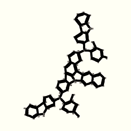 Cc1ccc(N(c2ccc3c(c2)oc2ccccc23)c2ccc3cc4c5ccc(N(c6ccc7c(c6)oc6ccccc67)c6ccc(C)cc6C)cc5n5c6cc7ccccc7cc6c(c3c2)c45)c(C)c1